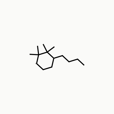 CCCCC1CC[C]C(C)(C)C1(C)C